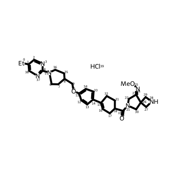 CCc1cnc(N2CCC(COc3ccc(C4=CCC(C(=O)N5C/C(=N\OC)C6(CNC6)C5)CC4)cc3)CC2)nc1.Cl